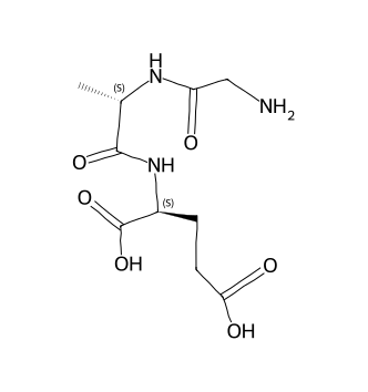 C[C@H](NC(=O)CN)C(=O)N[C@@H](CCC(=O)O)C(=O)O